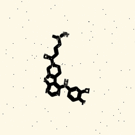 CC(C)N(C)CC=CC(=O)N1CCc2c(sc3ncnc(Nc4ccc(F)c(Cl)c4)c23)C1